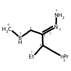 CBC/C(=N\N)C(CC)CCC